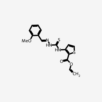 C=COC(=O)c1sccc1NC(=S)N/N=C/c1ccccc1OC